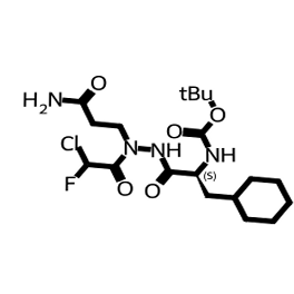 CC(C)(C)OC(=O)N[C@@H](CC1CCCCC1)C(=O)NN(CCC(N)=O)C(=O)C(F)Cl